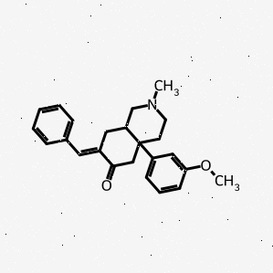 COc1cccc(C23CCN(C)CC2CC(=Cc2ccccc2)C(=O)C3)c1